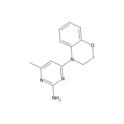 Cc1cc(N2CCOc3ccccc32)nc(N)n1